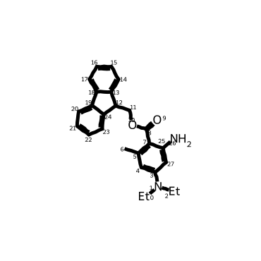 CCN(CC)c1cc(C)c(C(=O)OCC2c3ccccc3-c3ccccc32)c(N)c1